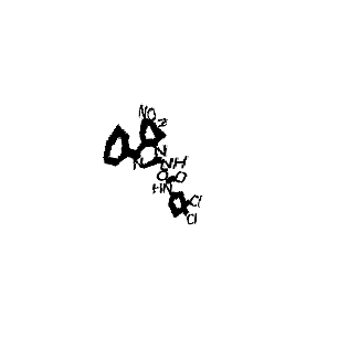 O=C(Nc1ccc(Cl)c(Cl)c1)ONC1=Nc2ccc([N+](=O)[O-])cc2C(c2ccccc2)=NC1